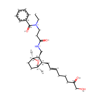 CCN(CCC(=O)NC[C@H]1[C@@H](CC=CCCCC(=O)CO)[C@H]2CC[C@@H]1O2)C(=O)c1ccccc1